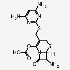 Nc1cc(N)nc(SCC2=C(OC(=O)O)N3C(=O)C(N)[C@@H]3SC2)n1